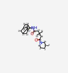 C[C@H]1CCCN(C(=O)CC(C)(C)CC(=O)NC2C3CC4CC(C3)CC2C4)C1